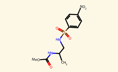 COC(=O)NC(C)CNS(=O)(=O)c1ccc([N+](=O)[O-])cc1